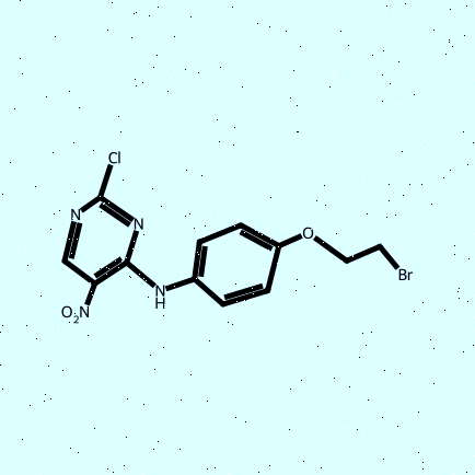 O=[N+]([O-])c1cnc(Cl)nc1Nc1ccc(OCCBr)cc1